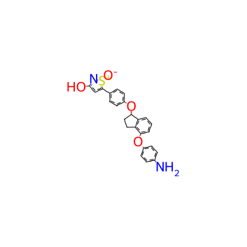 Nc1ccc(Oc2cccc3c2CC[C@H]3Oc2ccc(-c3cc(O)n[s+]3[O-])cc2)cc1